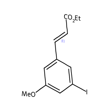 CCOC(=O)/C=C/c1cc(I)cc(OC)c1